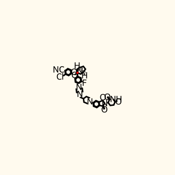 N#Cc1ccc(OC2C[C@H]3CC[C@@H](C2)N3C(=O)c2ccc(N3CCN(CC4CCN(c5ccc6c(c5)C(=O)N(C5CCC(=O)NC5=O)C6=O)CC4)CC3)c(F)c2)cc1Cl